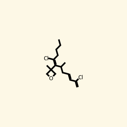 C=C(Cl)/C=C/CC(C)/C(=C(/Cl)CCCC)C1(C)COC1